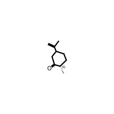 C=C(C)C1CC[C@H](C)C(=O)C1